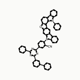 N#Cc1cc(-c2nc(-c3ccccc3)nc(-c3cccc(-c4ccccc4)c3)n2)ccc1-n1c2ccccc2c2cc3c(cc21)oc1ccc2c4ccccc4n(-c4ccccc4)c2c13